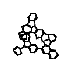 c1ccc(-n2c3ccccc3c3cc(-c4cc5ccccc5c5c6cccc7c8cc9c(nc8n(c45)c76)c4c5ccccc5cc5c6ccccc6n9c54)ccc32)cc1